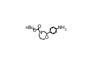 CCCCOC(=O)N1CCCOC(c2ccc(N)cc2)C1